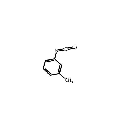 Cc1[c]ccc(N=C=O)c1